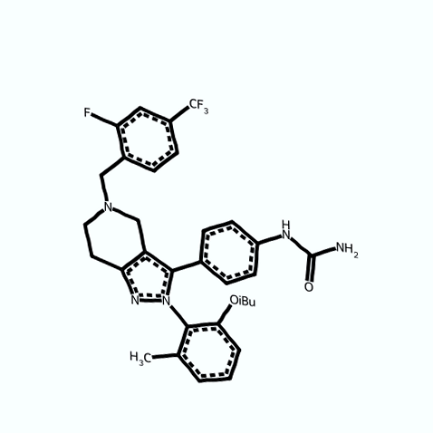 Cc1cccc(OCC(C)C)c1-n1nc2c(c1-c1ccc(NC(N)=O)cc1)CN(Cc1ccc(C(F)(F)F)cc1F)CC2